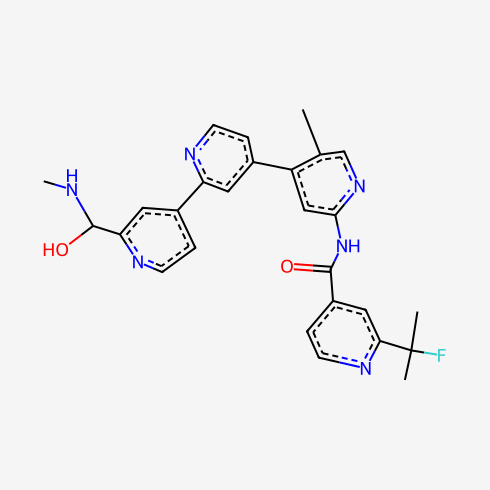 CNC(O)c1cc(-c2cc(-c3cc(NC(=O)c4ccnc(C(C)(C)F)c4)ncc3C)ccn2)ccn1